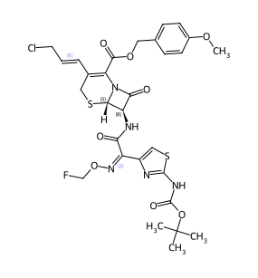 COc1ccc(COC(=O)C2=C(/C=C/CCl)CS[C@H]3[C@H](NC(=O)/C(=N\OCF)c4csc(NC(=O)OC(C)(C)C)n4)C(=O)N23)cc1